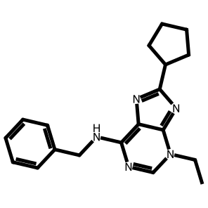 CCn1cnc(NCc2ccccc2)c2nc(C3CCCC3)nc1-2